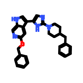 c1ccc(COc2cc3c(-c4cnc(N5CCC(Cc6ccccc6)CC5)[nH]4)c[nH]c3cn2)cc1